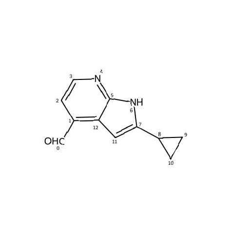 O=Cc1ccnc2[nH]c(C3CC3)cc12